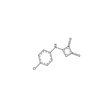 O=c1cc(Nc2ccc(Cl)cc2)c1=O